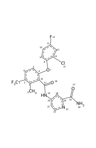 Cc1c(C(F)(F)F)ccc(Oc2ccc(F)cc2Cl)c1C(=O)Nc1ccnc(C(N)=O)c1